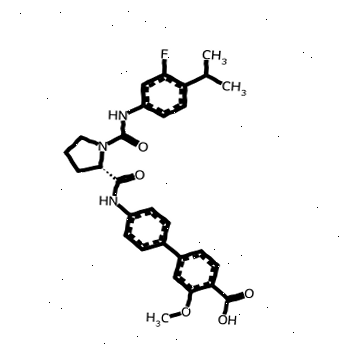 COc1cc(-c2ccc(NC(=O)[C@@H]3CCCN3C(=O)Nc3ccc(C(C)C)c(F)c3)cc2)ccc1C(=O)O